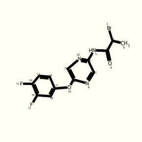 CC(Br)C(=O)Nc1cnc(Oc2ccc(F)c(F)c2)cn1